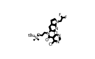 CC(C)(C)[Si](C)(C)OCCN(C(=O)c1c(Cl)ncnc1Cl)c1cnc2c(ccn2CC(F)F)c1